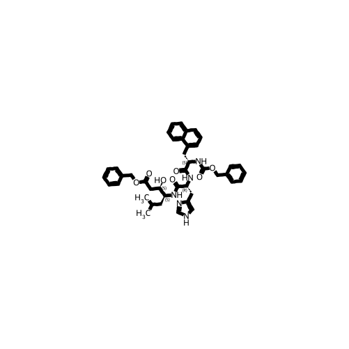 CC(C)C[C@H](NC(=O)[C@@H](Cc1c[nH]cn1)NC(=O)[C@H](Cc1cccc2ccccc12)NC(=O)OCc1ccccc1)[C@@H](O)CC(=O)OCc1ccccc1